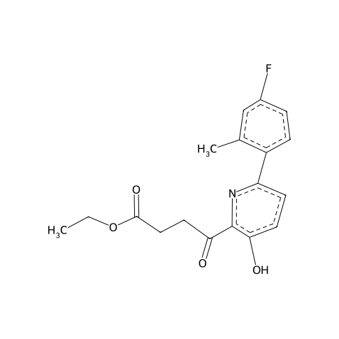 CCOC(=O)CCC(=O)c1nc(-c2ccc(F)cc2C)ccc1O